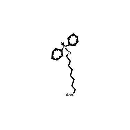 CCCCCCCCCCCCCCCCCCOP(=O)(c1ccccc1)c1ccccc1